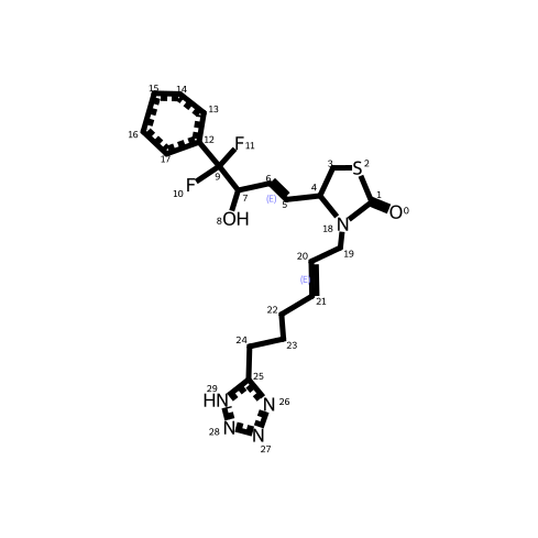 O=C1SCC(/C=C/C(O)C(F)(F)c2ccccc2)N1C/C=C/CCCc1nnn[nH]1